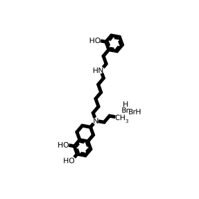 Br.Br.CCCN(CCCCCCNCCc1ccccc1O)C1CCc2c(ccc(O)c2O)C1